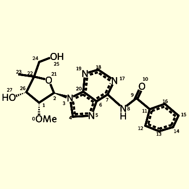 CO[C@H]1[C@H](n2cnc3c(NC(=O)c4ccccc4)ncnc32)OC(C)(CO)[C@H]1O